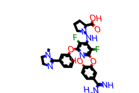 CN1CCN=C1c1cccc(Oc2nc(Oc3cc(C(=N)N)ccc3O)c(F)c(NN3CCCC3C(=O)O)c2F)c1